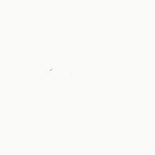 CC(C)[C@H](N)C(=O)C1(NCC=O)CCCC1C(=O)OCc1ccccc1